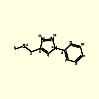 CSCc1cn(-c2ccccc2)nn1